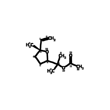 C=C[C@@]1(C)CCC(C(C)(C)OC(C)=O)O1